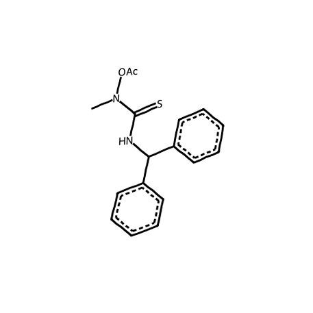 CC(=O)ON(C)C(=S)NC(c1ccccc1)c1ccccc1